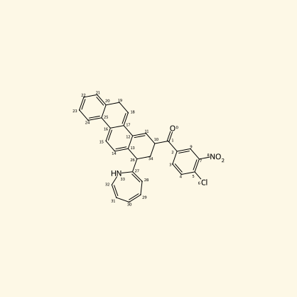 O=C(c1ccc(Cl)c([N+](=O)[O-])c1)C1C=c2c(ccc3c2=CCc2ccccc2-3)C(C2=CC=CC=CN2)C1